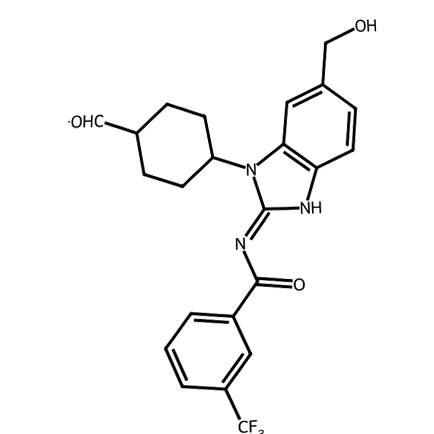 O=[C]C1CCC(n2/c(=N/C(=O)c3cccc(C(F)(F)F)c3)[nH]c3ccc(CO)cc32)CC1